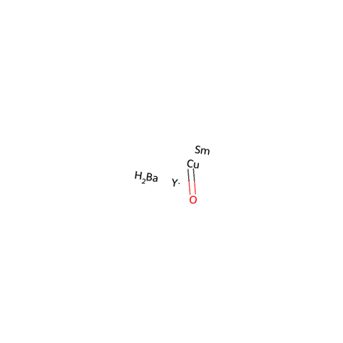 [BaH2].[O]=[Cu].[Sm].[Y]